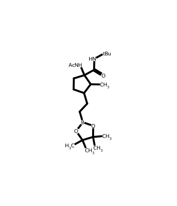 CC(=O)NC1(C(=O)NC(C)(C)C)CCC(CCB2OC(C)(C)C(C)(C)O2)C1C